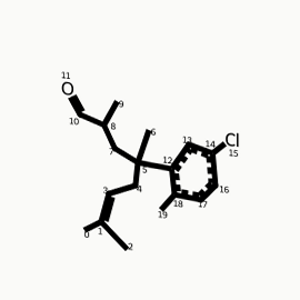 CC(C)=CCC(C)(CC(C)C=O)c1cc(Cl)ccc1C